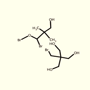 CC(C)(CO)C(Br)OBr.OCC(CO)(CO)CBr